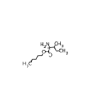 CCCCCOC(=O)[C@@H](N)C(C)CC